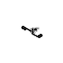 CN(CCCCCc1ccc2ccccc2c1)C(=O)C(OCCCCCc1ccc2ccccc2c1)C(OCC(=O)O)C(=O)O